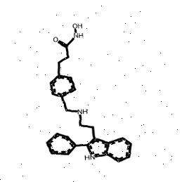 O=C(CCc1ccc(CNCCc2c(-c3ccccc3)[nH]c3ccccc23)cc1)NO